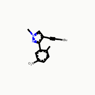 Cc1ccc([N+](=O)[O-])cc1-c1nn(C)cc1C#CC(C)(C)C